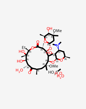 CC[C@H]1OC(=O)[C@H](C)[C@@H](O[C@H]2C[C@@](C)(OC)[C@@H](O)[C@H](C)O2)C(C)[C@@H](O[C@@H]2O[C@H](C)C[C@H](N(C)C)[C@H]2O)[C@](C)(OC)C[C@@H](C)C(=O)[C@H](C)[C@@H](O)[C@]1(C)O.CS(=O)(=O)O.O.O.O